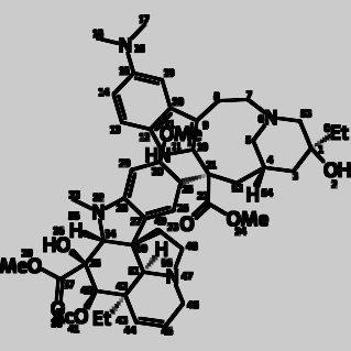 CC[C@]1(O)C[C@H]2CN(CCc3c([nH]c4ccc(N(C)C)cc34)[C@@](C(=O)OC)(C3C=C4C(=CC3OC)N(C)[C@H]3[C@@](O)(C(=O)OC)[C@H](OC(C)=O)[C@]5(CC)C=CCN6CC[C@]43[C@@H]65)C2)C1